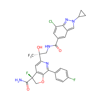 NC(=O)[C@@]1(F)COc2c1cc([C@@](O)(CNC(=O)c1cc(Cl)c3nn(C4CC4)cc3c1)C(F)(F)F)nc2-c1ccc(F)cc1